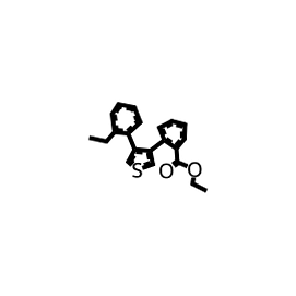 CCOC(=O)c1ccccc1-c1cscc1-c1ccccc1CC